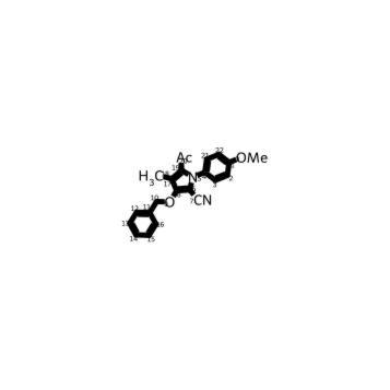 COc1ccc(-n2c(C#N)c(OCc3ccccc3)c(C)c2C(C)=O)cc1